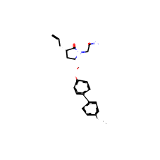 C=CC[C@@H]1C[C@@H](COc2ccc(-c3ccc(C#N)cc3)cc2)N(CC(N)=O)C1=O